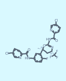 C[C@@]1(c2cc(NC(=O)c3ccc(Cl)cn3)ccc2F)C[C@@H](C(F)(F)F)N=C(NC(=O)c2ccc(Cl)cn2)O1